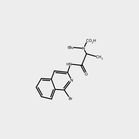 CC(C(=O)Nc1cc2ccccc2c(Br)n1)N(C(=O)O)C(C)(C)C